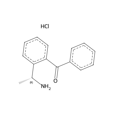 C[C@@H](N)c1ccccc1C(=O)c1ccccc1.Cl